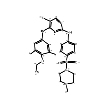 Cc1cc(Nc2nc(Nc3ccc(S(=O)(=O)N4CCN(C)CC4)cc3)ncc2F)cc(C)c1OCC#N